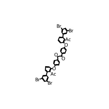 CC(=O)c1c(Oc2ccc(C(=O)C(=O)c3ccc(Oc4cccc(-c5cc(Br)cc(Br)c5)c4C(C)=O)cc3)cc2)cccc1-c1cc(Br)cc(Br)c1